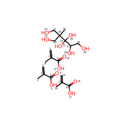 C=C(C)C(=O)O.C=C(C)C(=O)O.C=C(C)C(=O)O.CC(CO)(CO)C(O)(O)C(O)CO